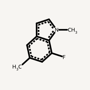 Cc1cc(F)c2c(ccn2C)c1